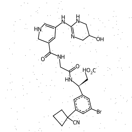 N#CC1(c2cc(Br)cc([C@H](CC(=O)O)NC(=O)CNC(=O)C3=CC(NC4=NCC(O)CN4)=CNC3)c2)CCC1